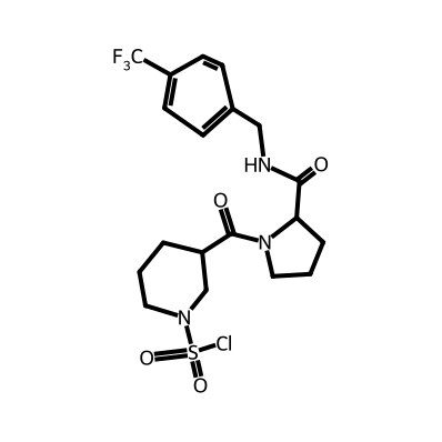 O=C(NCc1ccc(C(F)(F)F)cc1)C1CCCN1C(=O)C1CCCN(S(=O)(=O)Cl)C1